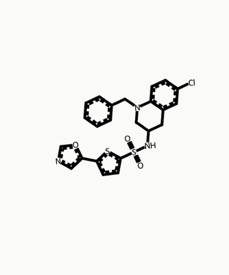 O=S(=O)(NC1Cc2cc(Cl)ccc2N(Cc2ccccc2)C1)c1ccc(-c2cnco2)s1